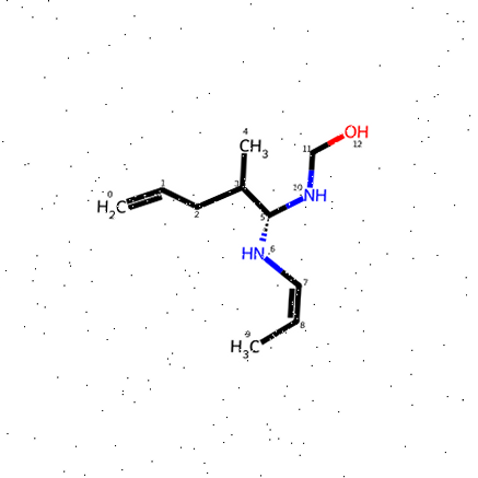 C=CCC(C)[C@@H](N/C=C\C)NCO